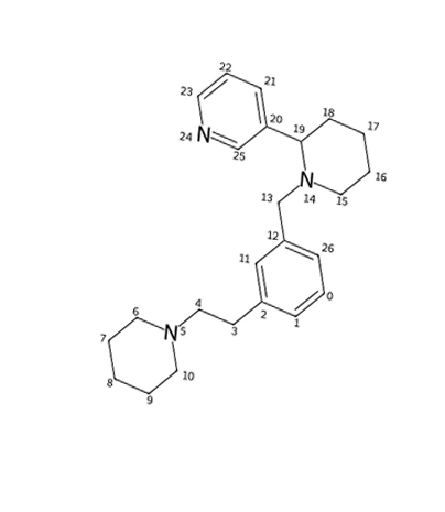 c1cc(CCN2CCCCC2)cc(CN2CCCCC2c2cccnc2)c1